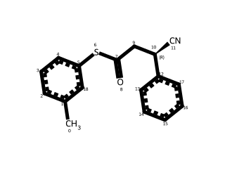 Cc1cccc(SC(=O)C[C@@H](C#N)c2ccccc2)c1